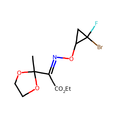 CCOC(=O)C(=NOC1CC1(F)Br)C1(C)OCCO1